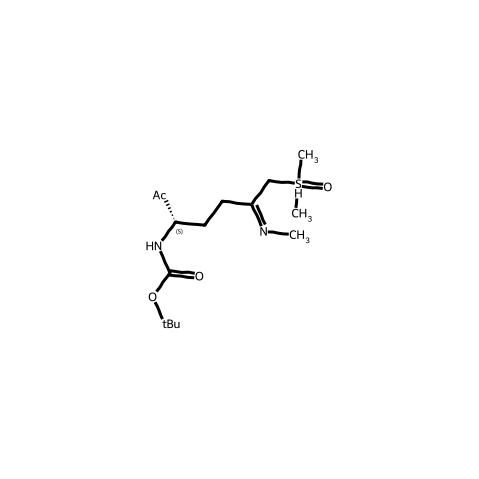 CN=C(CC[C@H](NC(=O)OC(C)(C)C)C(C)=O)C[SH](C)(C)=O